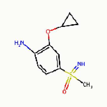 CS(=N)(=O)c1ccc(N)c(OC2CC2)c1